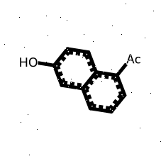 CC(=O)c1cccc2cc(O)ccc12